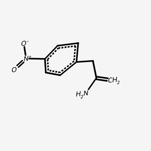 C=C(N)Cc1ccc([N+](=O)[O-])cc1